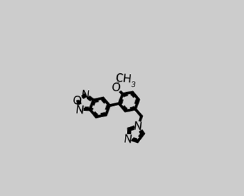 COc1ccc(Cn2ccnc2)cc1-c1ccc2nonc2c1